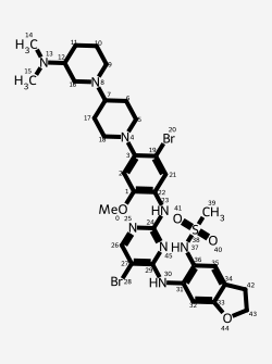 COc1cc(N2CCC(N3CCCC(N(C)C)C3)CC2)c(Br)cc1Nc1ncc(Br)c(Nc2cc3c(cc2NS(C)(=O)=O)CCO3)n1